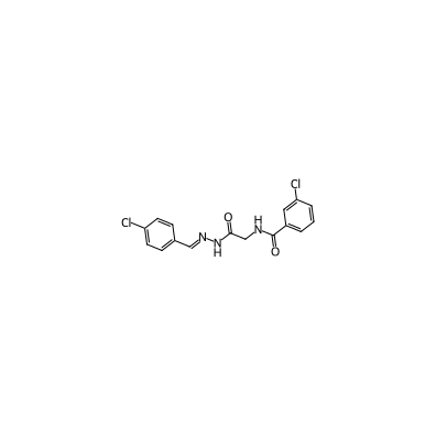 O=C(CNC(=O)c1cccc(Cl)c1)NN=Cc1ccc(Cl)cc1